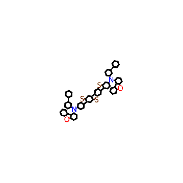 c1ccc(-c2cccc(N(c3ccc4c(c3)sc3cc5c(cc34)sc3cc4c(cc35)sc3cc(N(c5cccc(-c6ccccc6)c5)c5cccc6oc7ccccc7c56)ccc34)c3cccc4oc5ccccc5c34)c2)cc1